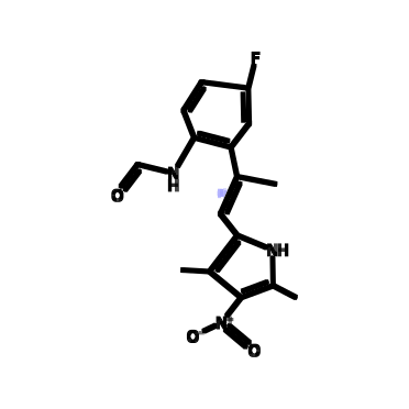 C/C(=C\c1[nH]c(C)c([N+](=O)[O-])c1C)c1cc(F)ccc1NC=O